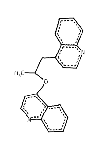 C[C](Cc1ccnc2ccccc12)Oc1ccnc2ccccc12